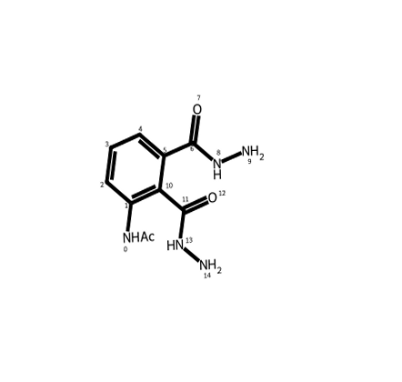 CC(=O)Nc1cccc(C(=O)NN)c1C(=O)NN